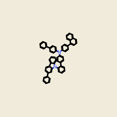 c1ccc(-c2ccc(N(c3ccc(-c4ccccc4-n4c5ccccc5c5ccc(-c6ccccc6)cc54)cc3)c3ccc(-c4cccc5ccccc45)cc3)cc2)cc1